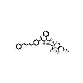 CC(=O)OCC1=C(C(=O)O)N2C(=O)[C@@H](NC(=O)C(NC(=O)c3ccc(C=CC=Cc4ccccc4)nc3)c3ccccc3)[C@H]2SC1